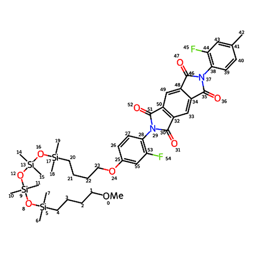 COCCCC[Si](C)(C)O[Si](C)(C)O[Si](C)(C)O[Si](C)(C)CCCCOc1ccc(-n2c(=O)c3cc4c(=O)n(-c5ccc(C)cc5F)c(=O)c4cc3c2=O)c(F)c1